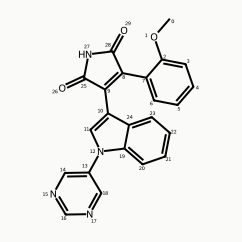 COc1ccccc1C1=C(c2cn(-c3cncnc3)c3ccccc23)C(=O)NC1=O